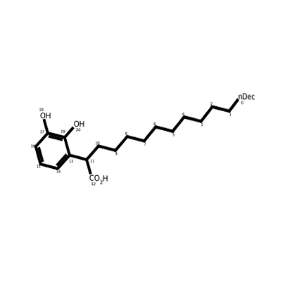 CCCCCCCCCCCCCCCCCCCCC(C(=O)O)c1cccc(O)c1O